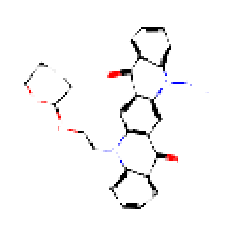 Nn1c2ccccc2c(=O)c2cc3c(cc21)c(=O)c1ccccc1n3CCOC1CCCCO1